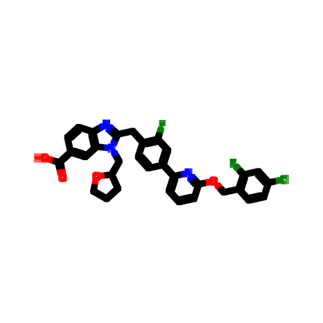 O=C(O)c1ccc2nc(Cc3ccc(-c4cccc(OCc5ccc(Cl)cc5F)n4)cc3F)n(CC3CCCO3)c2c1